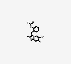 Cc1cc2nc(C)c(Cc3ccccc3OC(F)F)n2cc1Br